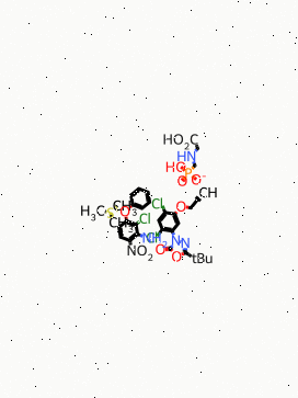 C#CCOc1cc(-n2nc(C(C)(C)C)oc2=O)c(Cl)cc1Cl.C[S+](C)C.Nc1c([N+](=O)[O-])ccc(Oc2ccccc2)c1Cl.O=C(O)CNCP(=O)([O-])O